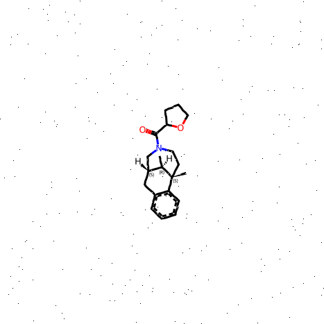 C[C@@H]1[C@@H]2Cc3ccccc3[C@@]1(C)CCN(C(=O)C1CCCO1)C2